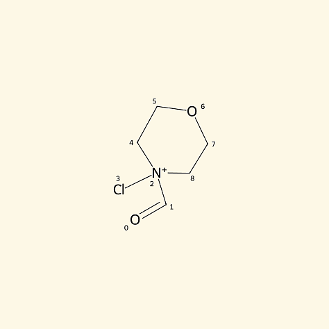 O=C[N+]1(Cl)CCOCC1